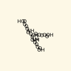 O=C(O)CCOCCOCCOCCNC(=O)CCOCC(COCCC(=O)NCCOCCOCCOCCC(=O)O)COCCC(=O)NCCOCCOCCOCCC(=O)O